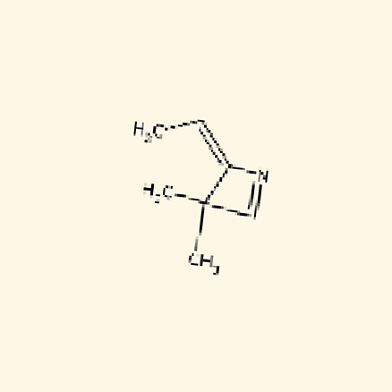 C/C=C1/N=CC1(C)C